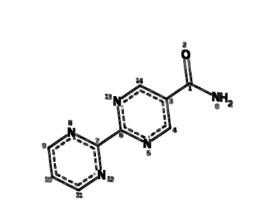 NC(=O)c1cnc(-c2ncccn2)nc1